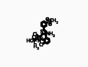 CC(C)(O)c1nn(-c2c(Cl)cccc2CN)c(-c2ccc(-c3cccc(S(C)(=O)=O)c3)s2)c1Cl